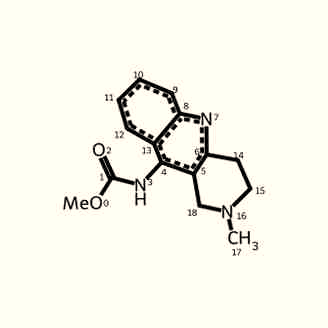 COC(=O)Nc1c2c(nc3ccccc13)CCN(C)C2